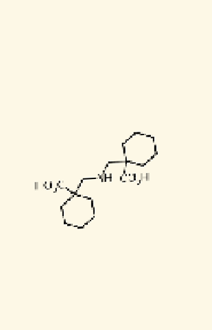 O=C(O)C1(CNCC2(C(=O)O)CCCCC2)CCCCC1